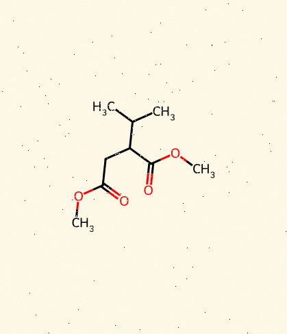 COC(=O)CC(C(=O)OC)C(C)C